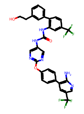 Nc1ncc(C(F)(F)F)cc1-c1ccc(Oc2ncc(NC(=O)Nc3cc(C(F)(F)F)ccc3-c3cccc(CCO)c3)cn2)cc1